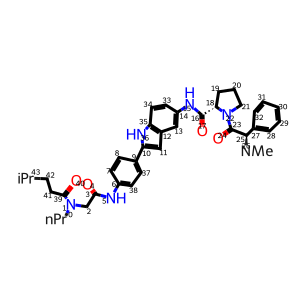 CCCN(CC(=O)Nc1ccc(-c2cc3cc(NC(=O)[C@@H]4CCCN4C(=O)[C@H](NC)c4ccccc4)ccc3[nH]2)cc1)C(=O)CCC(C)C